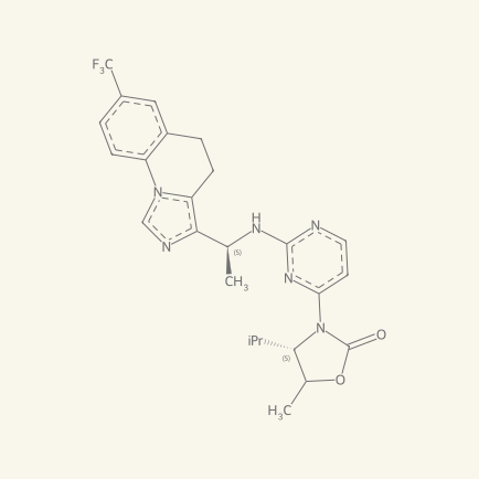 CC(C)[C@H]1C(C)OC(=O)N1c1ccnc(N[C@@H](C)c2ncn3c2CCc2cc(C(F)(F)F)ccc2-3)n1